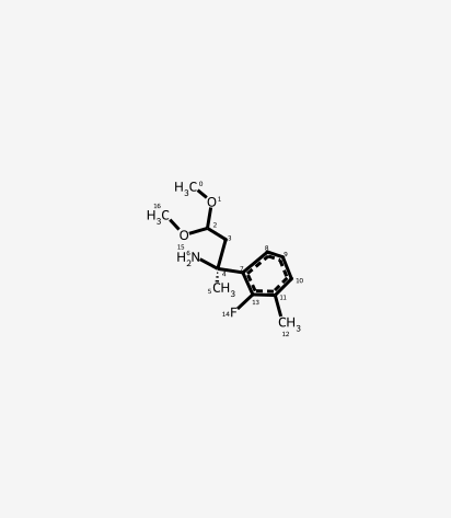 COC(C[C@](C)(N)c1cccc(C)c1F)OC